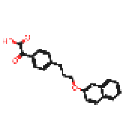 O=C(O)C(=O)c1ccc(CCCOc2ccc3ccccc3c2)cc1